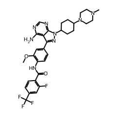 COc1cc(-c2nn(C3CCC(N4CCN(C)CC4)CC3)c3ncnc(N)c23)ccc1NC(=O)c1ccc(C(F)(F)F)cc1F